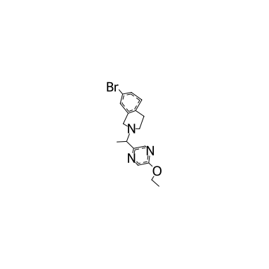 CCOc1cnc(C(C)N2CCc3ccc(Br)cc3C2)cn1